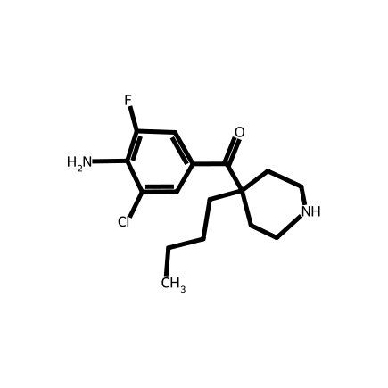 CCCCC1(C(=O)c2cc(F)c(N)c(Cl)c2)CCNCC1